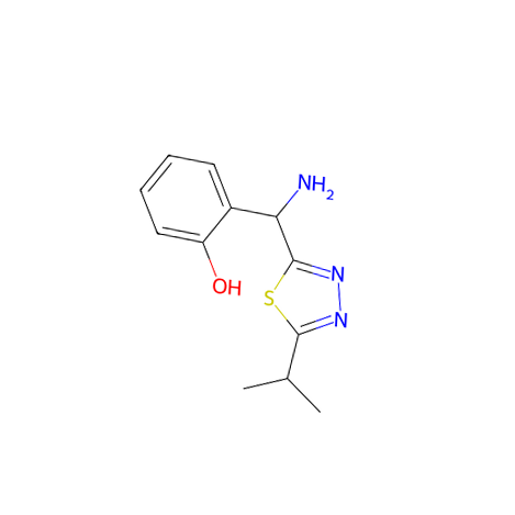 CC(C)c1nnc(C(N)c2ccccc2O)s1